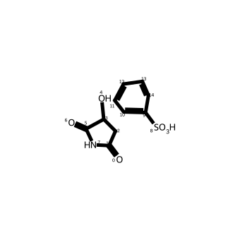 O=C1CC(O)C(=O)N1.O=S(=O)(O)c1ccccc1